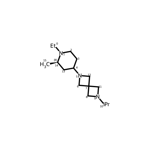 CCN1CCC(N2CC3(CN(C(C)C)C3)C2)C[C@H]1C